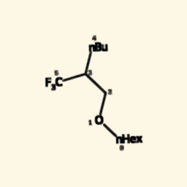 CCCCCCOCC(CCCC)C(F)(F)F